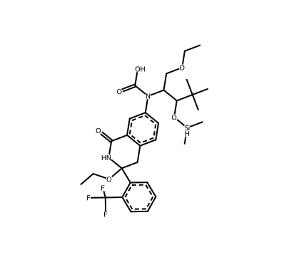 CCOCC(C(O[SiH](C)C)C(C)(C)C)N(C(=O)O)c1ccc2c(c1)C(=O)NC(OCC)(c1ccccc1C(F)(F)F)C2